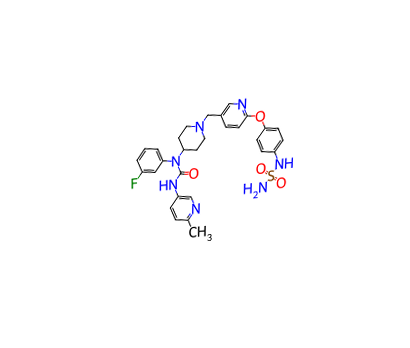 Cc1ccc(NC(=O)N(c2cccc(F)c2)C2CCN(Cc3ccc(Oc4ccc(NS(N)(=O)=O)cc4)nc3)CC2)cn1